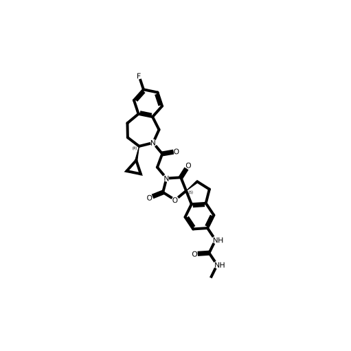 CNC(=O)Nc1ccc2c(c1)CC[C@]21OC(=O)N(CC(=O)N2Cc3ccc(F)cc3CC[C@@H]2C2CC2)C1=O